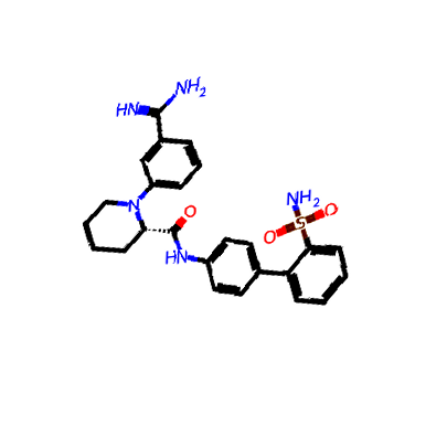 N=C(N)c1cccc(N2CCCC[C@H]2C(=O)Nc2ccc(-c3ccccc3S(N)(=O)=O)cc2)c1